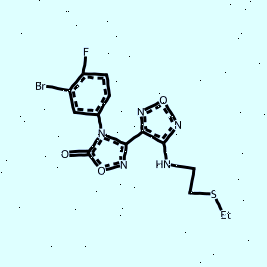 CCSCCNc1nonc1-c1noc(=O)n1-c1ccc(F)c(Br)c1